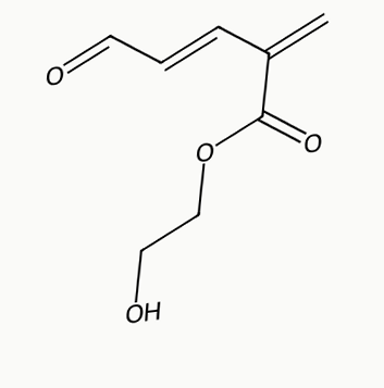 C=C(C=CC=O)C(=O)OCCO